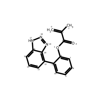 C=C(C)C(=O)Oc1ccccc1-c1cccc2[nH]nnc12